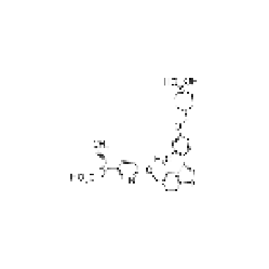 CC#C[C@@H](CC(=O)O)c1ccc(OCc2ccc3scc(-c4ccc(OCC5CCS(O)(O)CC5)cc4C)c3c2)nc1